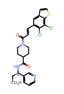 O=C(O)C[C@@H](NC(=O)C1CCN(C(=O)/C=C/c2cc3ccsc3c(Cl)c2Cl)CC1)c1cccnc1